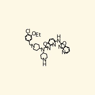 CCOc1cc(CN2CCC(N(c3nc4nc(Nc5nc6ncccc6o5)ccc4o3)C3CCNCC3)CC2)ccc1Cl